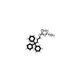 CCCCPOB(O)OCCCC(c1ccccc1)(c1ccccc1)c1ccccc1